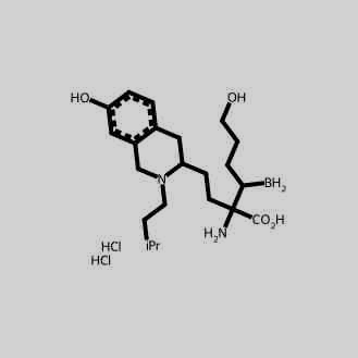 BC(CCCO)C(N)(CCC1Cc2ccc(O)cc2CN1CCC(C)C)C(=O)O.Cl.Cl